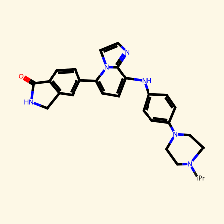 CC(C)N1CCN(c2ccc(Nc3ccc(-c4ccc5c(c4)CNC5=O)n4ccnc34)cc2)CC1